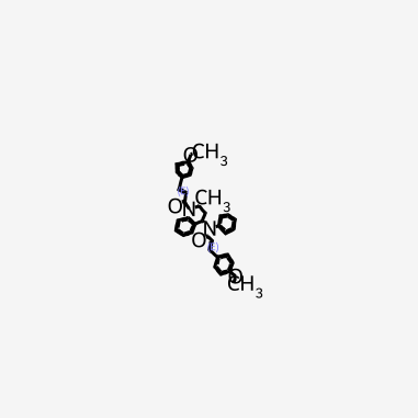 COc1ccc(/C=C/C(=O)N2c3ccccc3C(N(C(=O)/C=C/c3ccc(OC)cc3)c3ccccc3)CC2C)cc1